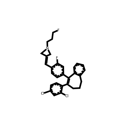 FCCCN1CC(=Cc2ccc(C3=C(c4ccc(Cl)cc4Cl)CCCc4ccccc43)cc2F)C1